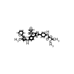 Cc1cc(Nc2ccc(-c3cnc(C4CCC(NC(=O)OC(C)C)CC4)s3)c(S(=O)(=O)C3COC3)c2)nn1C1CCCCO1